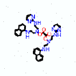 O=C(ON(CCNc1ncccn1)CCNc1cccc2ccccc12)C(=O)ON(CCNc1ncccn1)CCNc1cccc2ccccc12